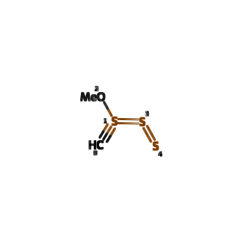 C#S(OC)=S=S